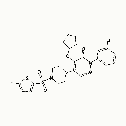 Cc1ccc(S(=O)(=O)N2CCN(c3cnn(-c4cccc(Cl)c4)c(=O)c3OC3CCCC3)CC2)s1